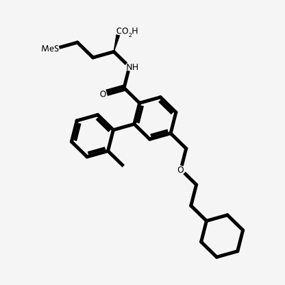 CSCC[C@H](NC(=O)c1ccc(COCCC2CCCCC2)cc1-c1ccccc1C)C(=O)O